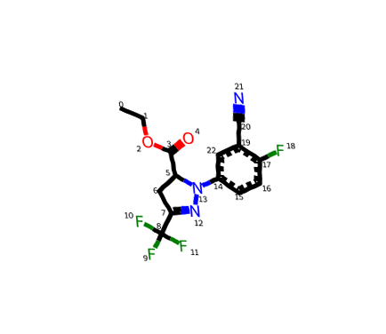 CCOC(=O)C1CC(C(F)(F)F)=NN1c1ccc(F)c(C#N)c1